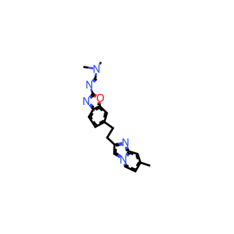 Cc1ccn2cc(CCc3ccc4nc(N=CN(C)C)oc4c3)nc2c1